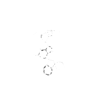 CC1(C)O[C@@H]2[C@H](O1)[C@@H](CO)O[C@H]2n1cnc2c(N3CC4(CCCCC4)c4ccccc43)nc(Cl)nc21